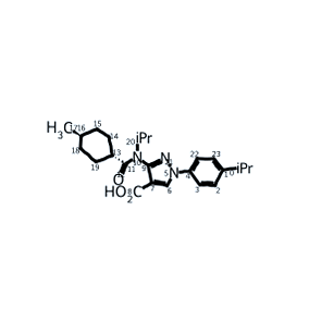 CC(C)c1ccc(-n2cc(C(=O)O)c(N(C(=O)[C@H]3CC[C@H](C)CC3)C(C)C)n2)cc1